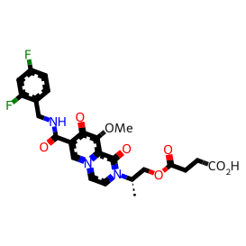 COc1c(=O)c(C(=O)NCc2ccc(F)cc2F)cn2ccn([C@@H](C)COC(=O)CCC(=O)O)c(=O)c12